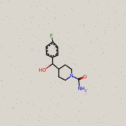 NC(=O)N1CCC(C(O)c2ccc(F)cc2)CC1